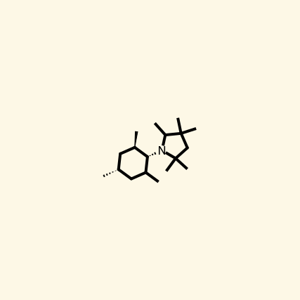 CC1C[C@H](C)C[C@@H](C)[C@@H]1N1C(C)C(C)(C)CC1(C)C